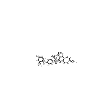 CN1CCc2cc(N(C)C)c(S(=O)(=O)c3ccc(Cc4ccc(F)cc4C(F)(F)F)cc3)cc2CC1